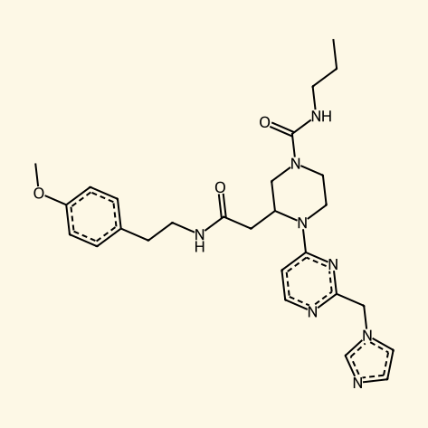 CCCNC(=O)N1CCN(c2ccnc(Cn3ccnc3)n2)C(CC(=O)NCCc2ccc(OC)cc2)C1